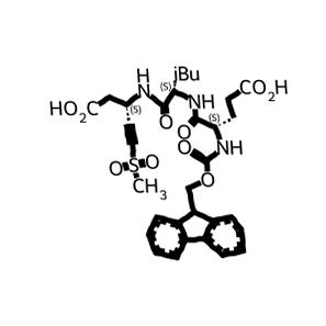 CCC(C)[C@H](NC(=O)[C@H](CCC(=O)O)NC(=O)OCC1c2ccccc2-c2ccccc21)C(=O)N[C@H](C#CS(C)(=O)=O)CC(=O)O